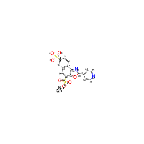 O=S(=O)([O-])c1ccc2c(c1)cc(S(=O)(=O)[O-])c1oc(-c3ccncc3)nc12.[Na+].[Na+]